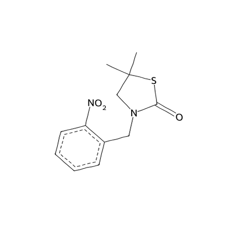 CC1(C)CN(Cc2ccccc2[N+](=O)[O-])C(=O)S1